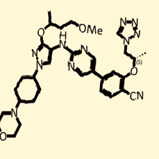 COCCC(C)Oc1nn(C2CCC(N3CCOCC3)CC2)cc1Nc1ncc(-c2ccc(C#N)c(O[C@@H](C)Cn3cnnn3)c2)cn1